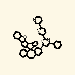 C1=Cc2ccc(-c3cc(-c4ccccc4)nc(-c4ccc(-c5cccnc5)nc4)n3)cc2C2(c3ccccc31)c1ccccc1-c1c2ccc2c1oc1ccccc12